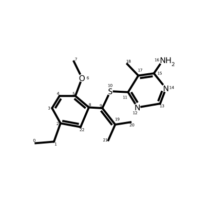 CCc1ccc(OC)c(C(Sc2ncnc(N)c2C)=C(C)C)c1